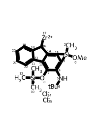 CO[Si]1(C)c2c(NC(C)(C)C)c(O[Si](C)(C)C)c3c(c21)[CH]([Zr+2])c1ccccc1-3.[Cl-].[Cl-]